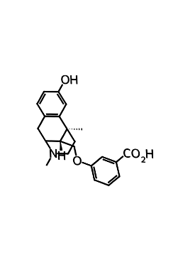 CN1CC[C@]2(C)c3cc(O)ccc3CC1[C@H]2COc1cccc(C(=O)O)c1